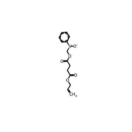 C=CCOC(=O)CCC(=O)OC[S+]([O-])c1ccccc1